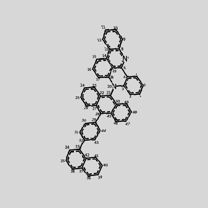 c1ccc2c(c1)-c1nc3ccccc3c3cccc(c13)N2c1c2ccccc2c(-c2ccc(-c3cccc4ccccc34)cc2)c2ccccc12